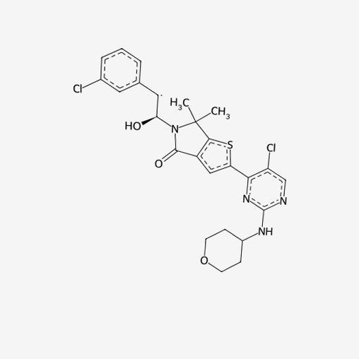 CC1(C)c2sc(-c3nc(NC4CCOCC4)ncc3Cl)cc2C(=O)N1[C@@H](O)[CH]c1cccc(Cl)c1